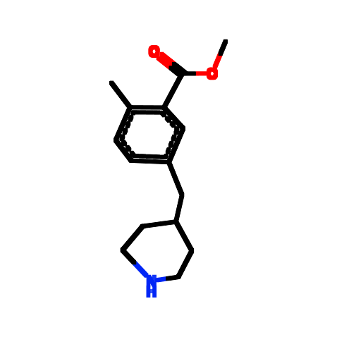 COC(=O)c1cc(CC2CCNCC2)ccc1C